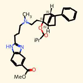 COC(=O)c1ccc2[nH]c(CCCN(C)CC[C@@]3(OC(=O)C(C)C)C[C@@H]4CC[C@H]3C=C4c3ccccc3)nc2c1